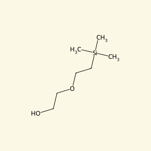 C[Si](C)(C)CCOCCO